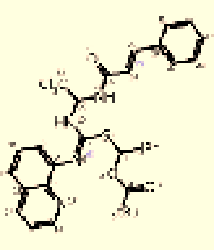 CC(C)C(OC(=O)C(C)(C)C)S/C(=N/c1cccc2cccnc12)NC(NC(=O)/C=C/c1ccccc1)C(Cl)(Cl)Cl